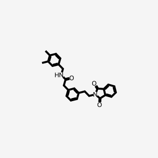 Cc1ccc(CNC(=O)Cc2cccc(CCN3C(=O)c4ccccc4C3=O)c2)cc1C